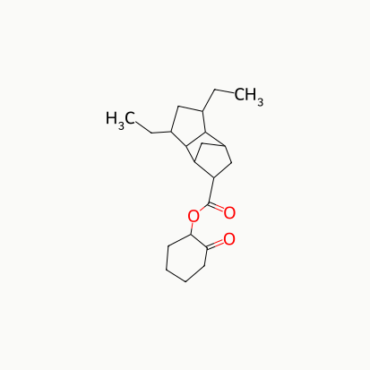 CCC1CC(CC)C2C3CC(CC3C(=O)OC3CCCCC3=O)C12